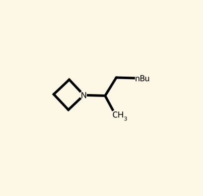 [CH2]CCCCC(C)N1CCC1